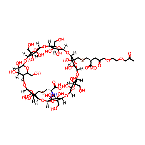 CN[C@H](CSCC1O[C@H]2O[C@@H]3C(CO)OC(O[C@@H]4C(CO)O[C@H](O[C@@H]5C(CO)O[C@@H](O[C@@H]6C(CSC[C@@H](CC(=O)COCCOCC(C)=O)C(=O)O)O[C@H](O[C@@H]7C(CO)O[C@@H](O[C@@H]8C(CO)O[C@@H](O[C@H]1[C@H](O)C2O)C(O)[C@H]8O)C(O)[C@H]7O)C(O)[C@H]6O)C(O)[C@H]5O)C(O)[C@H]4O)[C@@H](O)[C@H]3O)C(=O)O